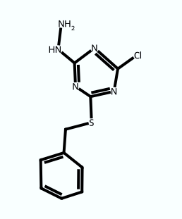 NNc1nc(Cl)nc(SCc2ccccc2)n1